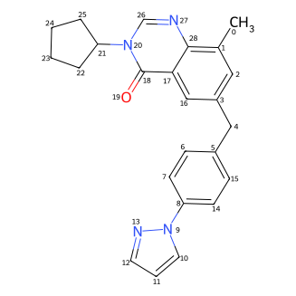 Cc1cc(Cc2ccc(-n3cccn3)cc2)cc2c(=O)n(C3CCCC3)cnc12